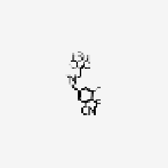 CN(CC(=O)OC(C)(C)C)Cc1cc(F)c(F)c(C#N)c1